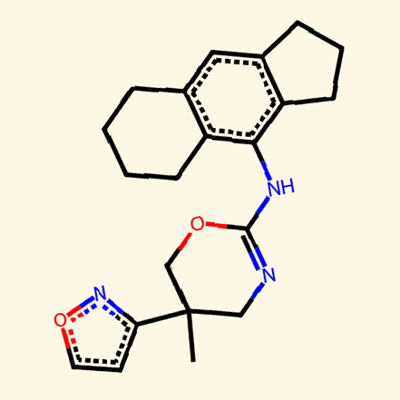 CC1(c2ccon2)CN=C(Nc2c3c(cc4c2CCC4)CCCC3)OC1